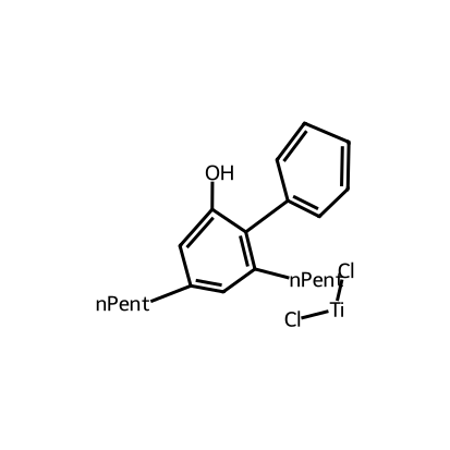 CCCCCc1cc(O)c(-c2ccccc2)c(CCCCC)c1.[Cl][Ti][Cl]